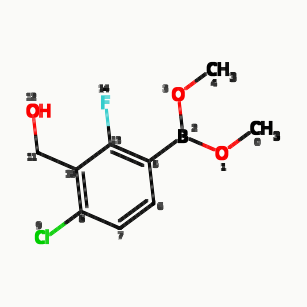 COB(OC)c1ccc(Cl)c(CO)c1F